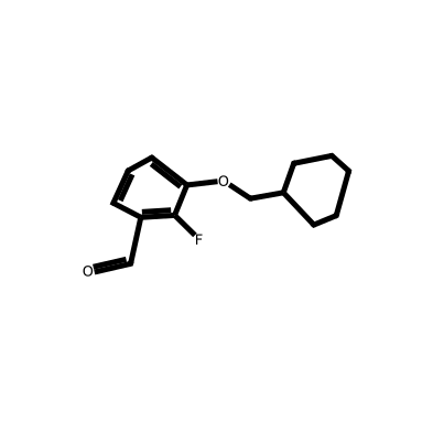 O=Cc1cccc(OCC2CCCCC2)c1F